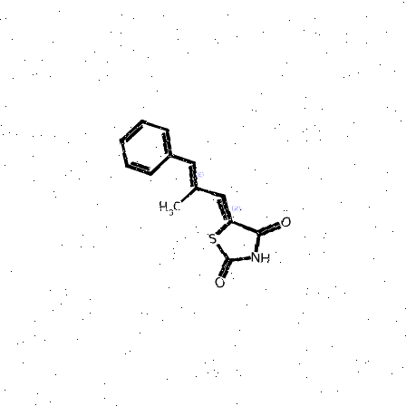 CC(/C=C1\SC(=O)NC1=O)=C\c1ccccc1